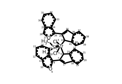 C[Si](C)=[Zr]([Cl])([Cl])([CH]1C(c2occ3ccccc23)=Cc2ccccc21)[CH]1C(c2occ3ccccc23)=Cc2ccccc21